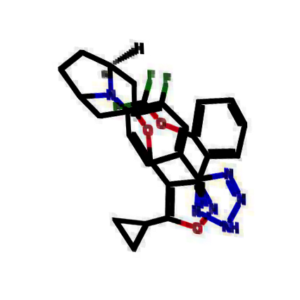 Fc1cc(-c2nn[nH]n2)ccc1N1C2CC[C@H]1CC(OCc1c(-c3ccccc3OC(F)F)noc1C1CC1)C2